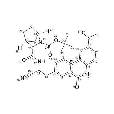 C[S+]([O-])c1ccc2[nH]c(=O)c3cc(CC(C#N)NC(=O)[C@@H]4[C@H]5CC[C@H](C5)N4C(=O)OC(C)(C)C)ccc3c2c1